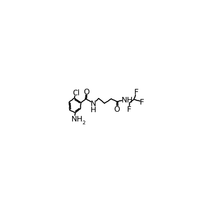 Nc1ccc(Cl)c(C(=O)NCCCC(=O)NC(F)C(F)F)c1